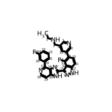 CCNCc1cncc(-c2ccc3[nH]nc(-c4nc5c(-c6cccc(F)c6)nccc5[nH]4)c3c2F)c1